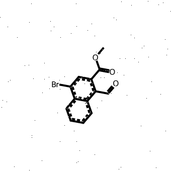 COC(=O)c1cc(Br)c2ccccc2c1C=O